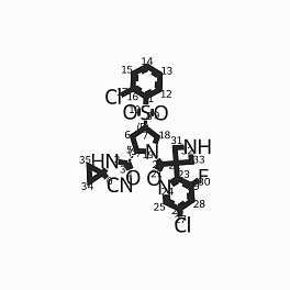 N#CC1(NC(=O)[C@@H]2C[C@@H](S(=O)(=O)c3ccccc3Cl)CN2C(=O)C2(c3ncc(Cl)cc3F)CNC2)CC1